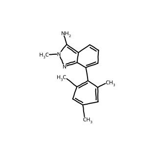 Cc1cc(C)c(-c2cccc3c(N)n(C)nc23)c(C)c1